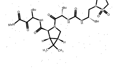 CCCCC(NC(=O)[C@@H]1[C@@H]2[C@H](CN1C(=O)[C@@H](NC(=O)N[C@H](CN1CCCS1(=O)=O)C(C)(C)C)C(C)(C)C)C2(C)C)C(=O)C(=O)NC